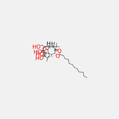 CCCCCCCCCCCC(=O)O[C@@]12CC(C)C34C=C(C)[C@H](O)[C@@]3(O)[C@H](O)C(CO)=C[C@H](C4=O)[C@H]1C2(C)C